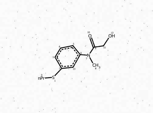 CCCSc1cccc(N(C)C(=O)CO)c1